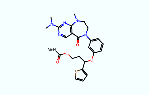 CNC(=O)OCCC(Oc1cccc(N2CCN(C)c3nc(N(C)C)ncc3C2=O)c1)c1cccs1